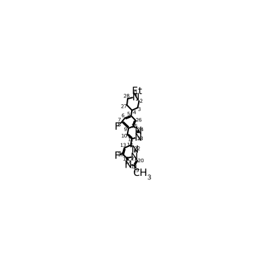 CCN1CCC(c2cc(F)c3cc(-c4cc(F)c5nc(C)cn5n4)nnc3c2)CC1